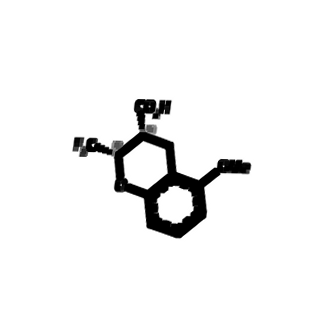 COc1cccc2c1C[C@@H](C(=O)O)[C@@H](C(F)(F)F)O2